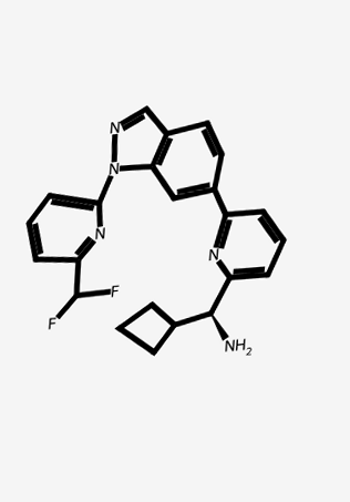 N[C@H](c1cccc(-c2ccc3cnn(-c4cccc(C(F)F)n4)c3c2)n1)C1CCC1